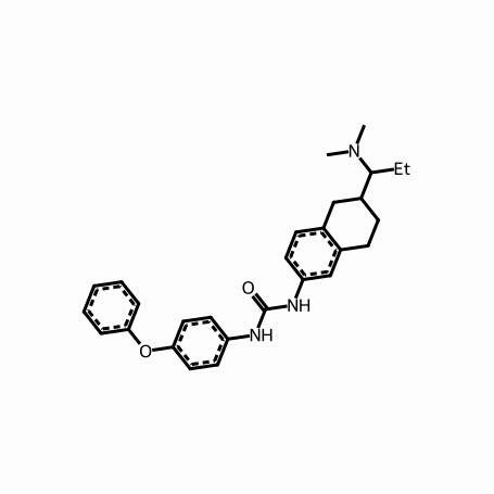 CCC(C1CCc2cc(NC(=O)Nc3ccc(Oc4ccccc4)cc3)ccc2C1)N(C)C